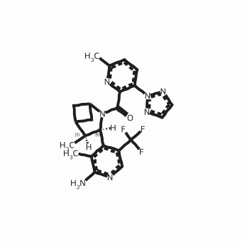 Cc1ccc(-n2nccn2)c(C(=O)N2C3CC(C3)[C@H](C)[C@@H]2c2c(C(F)(F)F)cnc(N)c2C)n1